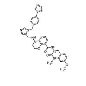 CNC(=O)[C@H](Cc1ccc(OC)cc1)NC(=O)c1cccc2c1OCC[C@H]2NCc1cncn1Cc1ccc(-c2cncs2)cc1